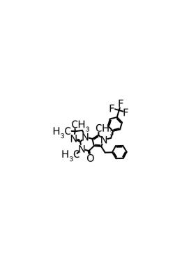 Cc1c2c(c(Cc3ccccc3)n1Cc1ccc(C(F)(F)F)cc1)C(=O)N(C)C1=NC(C)(C)CN12